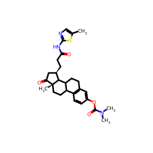 Cc1cnc(NC(=O)CC[C@@H]2CC(=O)[C@@]3(C)CCC4c5ccc(OC(=O)N(C)C)cc5CCC4C23)s1